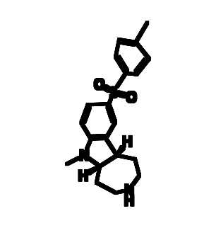 Cc1ccc(S(=O)(=O)c2ccc3c(c2)[C@@H]2CCNCC[C@@H]2N3C)cc1